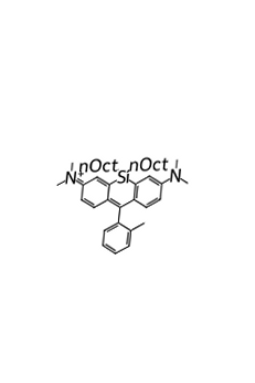 CCCCCCCC[Si]1(CCCCCCCC)C2=CC(=[N+](C)C)C=CC2=C(c2ccccc2C)c2ccc(N(C)C)cc21